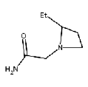 CCC1CCN1CC(N)=O